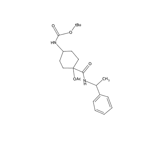 CC(=O)OC1(C(=O)NC(C)c2ccccc2)CCC(NC(=O)OC(C)(C)C)CC1